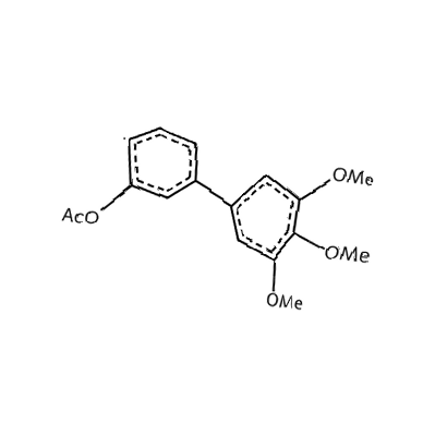 COc1cc(-c2cc[c]c(OC(C)=O)c2)cc(OC)c1OC